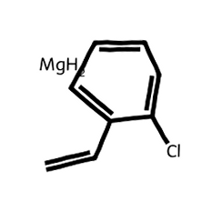 C=Cc1ccccc1Cl.[MgH2]